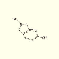 Oc1ccc2c(c1)CN(Br)C2